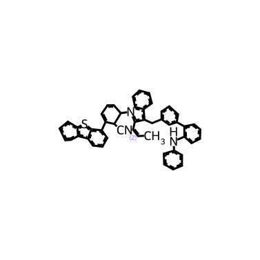 C/C=C\c1c(Cc2cccc(-c3ccccc3Nc3ccccc3)c2)c2ccccc2n1C1C=CC=C(c2cccc3c2sc2ccccc23)C1C#N